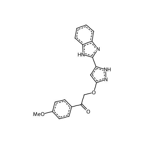 COc1ccc(C(=O)COc2cc(-c3nc4ccccc4[nH]3)[nH]n2)cc1